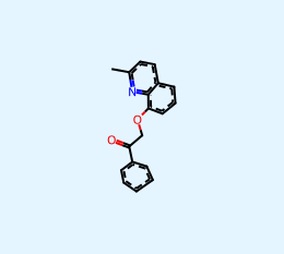 Cc1ccc2cccc(OCC(=O)c3ccccc3)c2n1